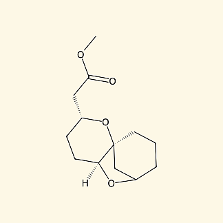 COC(=O)C[C@H]1CC[C@@H]2OC3CCC[C@@]2(C3)O1